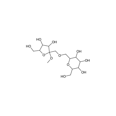 COC1(COCC2OC(CO)C(O)C(O)C2O)OC(CO)C(O)C1O